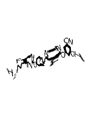 N#Cc1cc(O)cc(Oc2ncnc(N3CCC(Oc4ncc(F)c(N)n4)CC3)c2F)c1